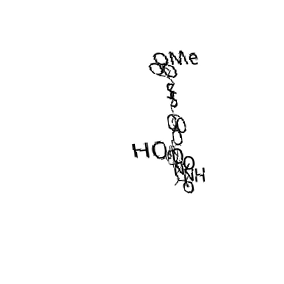 COC1OCC(CSSCC2COC(OC[C@H]3O[C@@H](n4cc(C)c(=O)[nH]c4=O)C[C@@H]3O)O2)O1